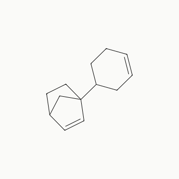 C1=CCC(C23C=CC(CC2)C3)CC1